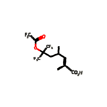 C/C(=C\C(C)CC(OC(=O)C(F)(F)F)(C(F)(F)F)C(F)(F)F)C(=O)O